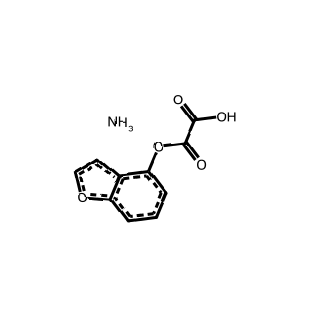 N.O=C(O)C(=O)Oc1cccc2occc12